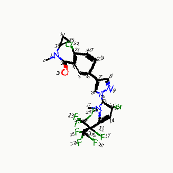 CN(C(=O)c1cc(-c2cnn(-c3c(Br)cc(C(F)(C(F)(F)F)C(F)(F)F)n3C)c2)ccc1Cl)C1CC1